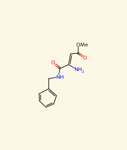 COC(=O)/C=C(\N)C(=O)NCc1ccccc1